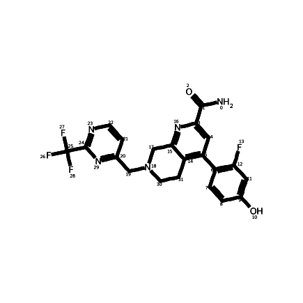 NC(=O)c1cc(-c2ccc(O)cc2F)c2c(n1)CN(Cc1ccnc(C(F)(F)F)n1)CC2